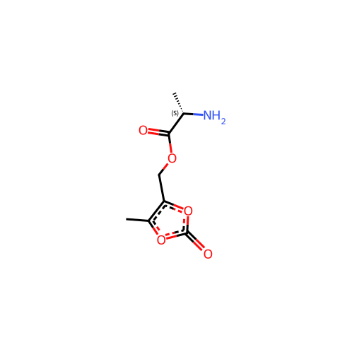 Cc1oc(=O)oc1COC(=O)[C@H](C)N